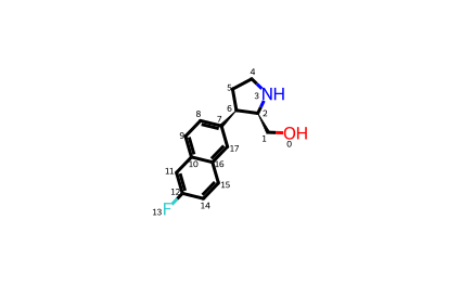 OC[C@@H]1NCC[C@@H]1c1ccc2cc(F)ccc2c1